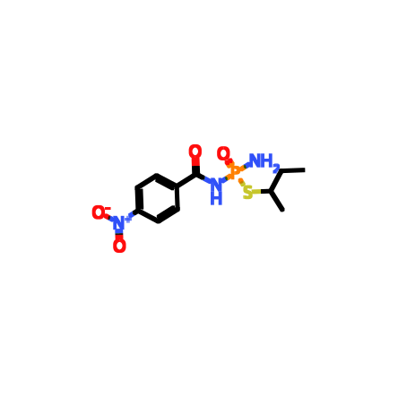 CCC(C)SP(N)(=O)NC(=O)c1ccc([N+](=O)[O-])cc1